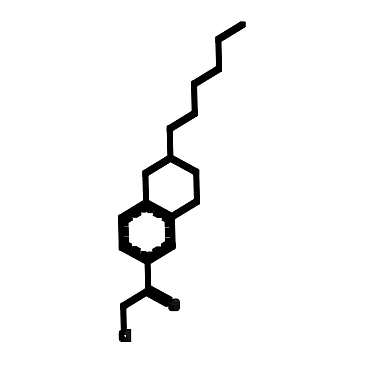 CCCCCCC1CCc2cc(C(=O)CCl)ccc2C1